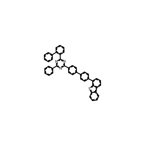 c1ccc(-c2nc(-c3ccc(-c4ccc(-c5cccc6c5sc5ccccc56)cc4)cc3)nc(-c3ccccc3-c3ccccc3)n2)cc1